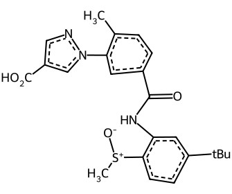 Cc1ccc(C(=O)Nc2cc(C(C)(C)C)ccc2[S+](C)[O-])cc1-n1cc(C(=O)O)cn1